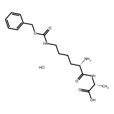 C[C@@H](NC(=O)[C@@H](N)CCCCNC(=O)OCc1ccccc1)C(=O)O.Cl